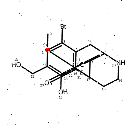 COC1CC2C3Cc4c(Br)cc(CO)c(O)c4C2(CCN3)CC1=O